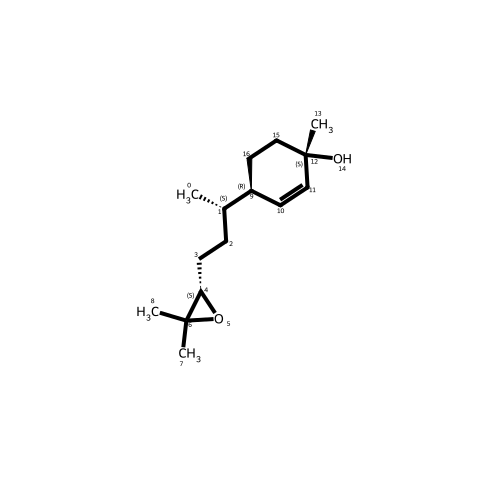 C[C@@H](CC[C@@H]1OC1(C)C)[C@@H]1C=C[C@@](C)(O)CC1